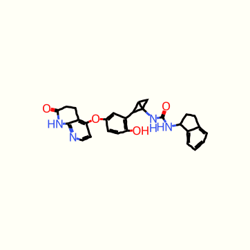 O=C1CCc2c(Oc3ccc(O)c(C4C5CC54NC(=O)NC4CCc5ccccc54)c3)ccnc2N1